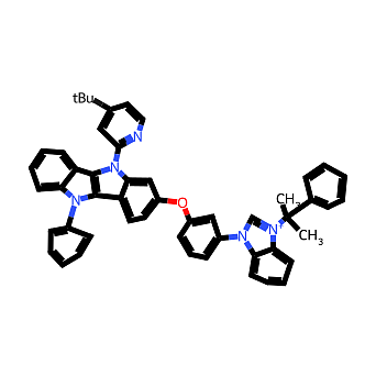 CC(C)(C)c1ccnc(-n2c3cc(Oc4cccc(-n5c[n+](C(C)(C)c6ccccc6)c6ccccc65)c4)ccc3c3c2c2ccccc2n3-c2ccccc2)c1